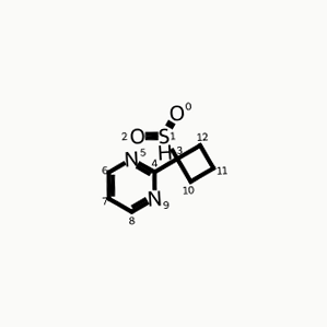 O=[SH](=O)C1(c2ncccn2)CCC1